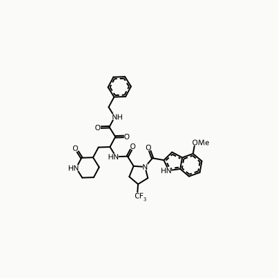 COc1cccc2[nH]c(C(=O)N3CC(C(F)(F)F)CC3C(=O)NC(CC3CCCNC3=O)C(=O)C(=O)NCc3ccccc3)cc12